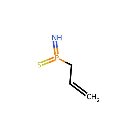 C=CCP(=N)=S